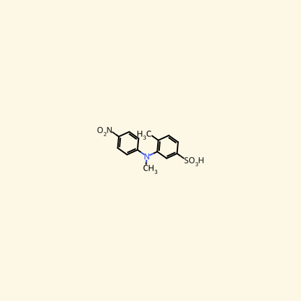 Cc1ccc(S(=O)(=O)O)cc1N(C)c1ccc([N+](=O)[O-])cc1